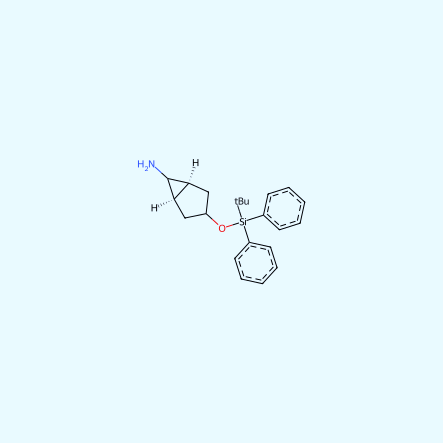 CC(C)(C)[Si](OC1C[C@@H]2C(N)[C@@H]2C1)(c1ccccc1)c1ccccc1